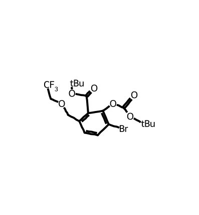 CC(C)(C)OC(=O)Oc1c(Br)ccc(COCC(F)(F)F)c1C(=O)OC(C)(C)C